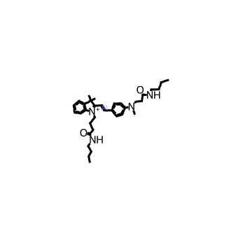 CCCCNC(=O)CCC[N+]1=C(/C=C/c2ccc(N(C)CCC(=O)NCCCC)cc2)C(C)(C)c2ccccc21